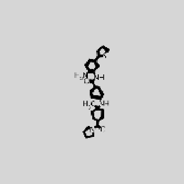 CC1(Nc2ccc(C(=O)Nc3cc(-c4cccs4)ccc3N)cc2)CCC(C(=O)N2CCCC2)CC1